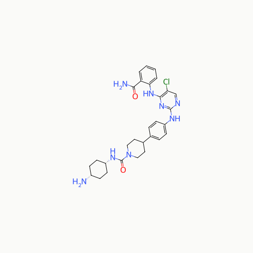 NC(=O)c1ccccc1Nc1nc(Nc2ccc(C3CCN(C(=O)N[C@H]4CC[C@@H](N)CC4)CC3)cc2)ncc1Cl